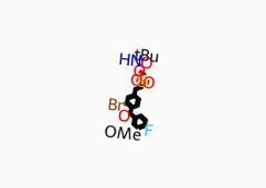 COc1cc(C(=O)c2ccc(CCS(=O)(=O)COC(=O)NC(C)(C)C)cc2Br)ccc1F